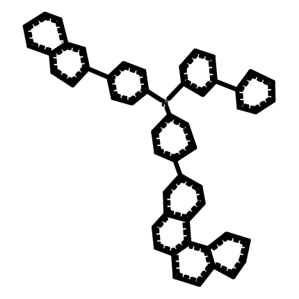 c1ccc(-c2cccc(N(c3ccc(-c4ccc5ccccc5c4)cc3)c3ccc(-c4ccc5c(ccc6ccc7ccccc7c65)c4)cc3)c2)cc1